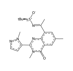 CC(=N[S@+]([O-])C(C)(C)C)c1cc(C)cc2c(=O)n(C)c(-c3ccnn3C)nc12